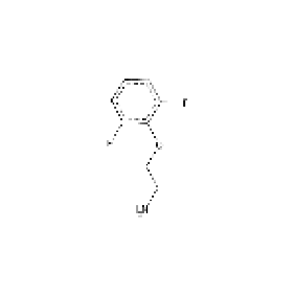 NCCOc1c(F)cccc1F